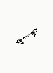 CC1CO[Si](CCCSSSCCC[Si]2(OC(C)C)OCC(C)CO2)(OC(C)C)OC1